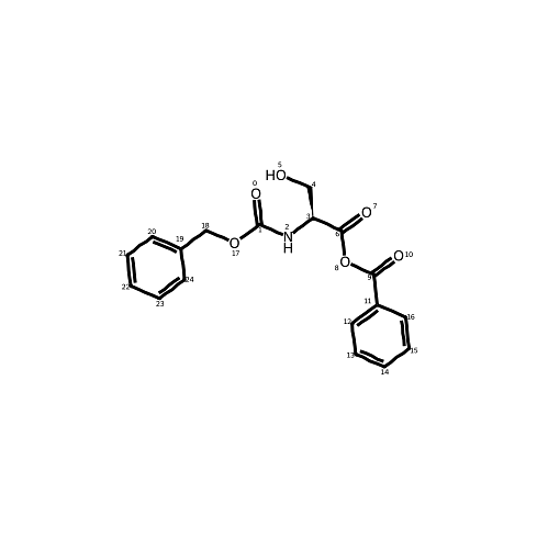 O=C(N[C@@H](CO)C(=O)OC(=O)c1ccccc1)OCc1ccccc1